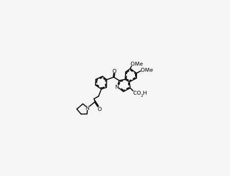 COc1cc2c(C(=O)O)cnc(C(=O)c3cccc(CCC(=O)N4CCCC4)c3)c2cc1OC